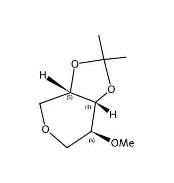 CO[C@H]1COC[C@@H]2OC(C)(C)O[C@H]12